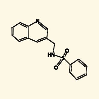 O=S(=O)(NCc1cnc2ccccc2c1)c1ccccc1